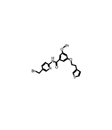 CC(C)Oc1cc(OCCc2ccsc2)cc(C(=O)Nc2ccc(CBr)cn2)c1